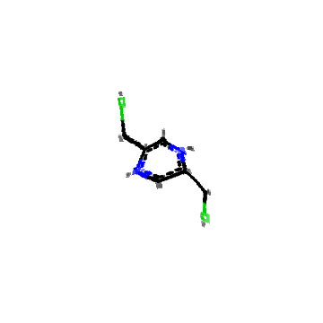 ClCc1cnc(CCl)cn1